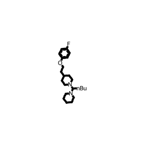 CCCCC(N1CCCCC1)N1CCC(CCOc2ccc(F)cc2)CC1